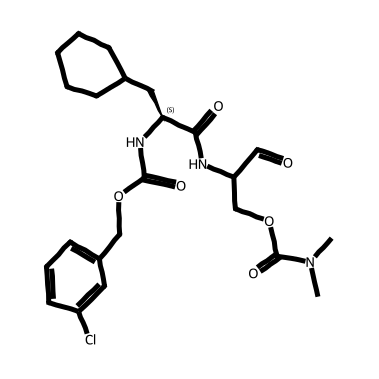 CN(C)C(=O)OCC(C=O)NC(=O)[C@H](CC1CCCCC1)NC(=O)OCc1cccc(Cl)c1